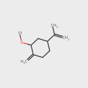 C=C(C)C1CCC(=C)C(OCC)C1